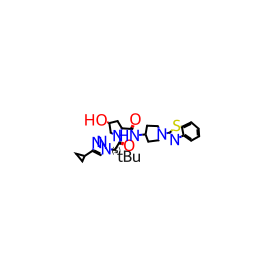 CC(C)(C)[C@@H](C(=O)N1CC(O)CC1C(=O)NC1CCN(c2nc3ccccc3s2)CC1)n1cc(C2CC2)nn1